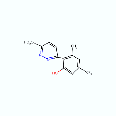 Cc1cc(C(F)(F)F)cc(O)c1-c1ccc(C(=O)O)nn1